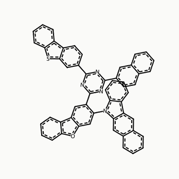 c1ccc2cc(-c3nc(-c4ccc5c(c4)sc4ccccc45)nc(-c4cc5c(cc4-n4c6ccccc6c6cc7ccccc7cc64)oc4ccccc45)n3)ccc2c1